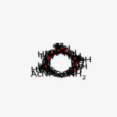 CC(=O)N[C@H]1CSCc2cccc(c2)CSC[C@H](C(N)=O)NC(=O)[C@H]([C@@H](C)O)NC(=O)[C@](C)(C(C)C)NC(=O)[C@H](Cc2ccc(O)cc2)NC(=O)[C@H](C)NC(=O)C2(CC(F)(F)C2)NC(=O)[C@H](Cc2c[nH]c3ncccc23)NC(=O)[C@H]([C@@H](C)O)NC(=O)[C@@H]2CCCN2C(=O)[C@H](Cc2ccc(O)cc2)NC(=O)[C@H](C(C)(C)C)NC1=O